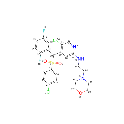 O=S(=O)(c1ccc(Cl)cc1)C(c1cc(F)ccc1F)c1cc(NCCN2CCOCC2)ncc1Cl